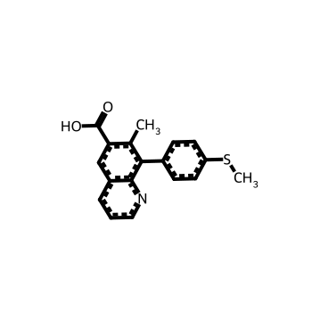 CSc1ccc(-c2c(C)c(C(=O)O)cc3cccnc23)cc1